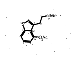 CNCCc1csc2cccc(OC(C)=O)c12